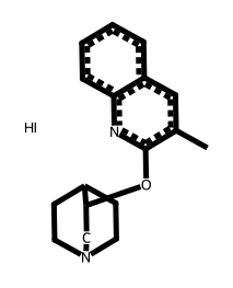 Cc1cc2ccccc2nc1OC1CN2CCC1CC2.I